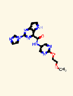 COCCOc1ncc(NC(=O)c2nc(-n3ccnc3)nc3cc[nH]c23)cn1